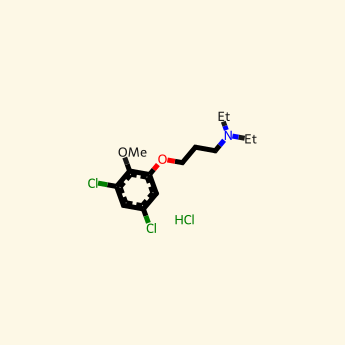 CCN(CC)CCCOc1cc(Cl)cc(Cl)c1OC.Cl